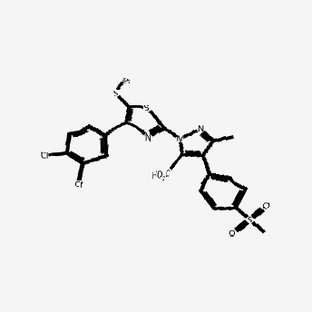 Cc1nn(-c2nc(-c3ccc(Cl)c(Cl)c3)c(SC(C)C)s2)c(C(=O)O)c1-c1ccc(S(C)(=O)=O)cc1